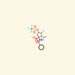 CCC1C(F)C(OS(=O)(=O)C(F)(F)F)CC1(NC(=O)c1ccccc1)C(=O)O